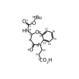 CC(C)(C)OC(=O)NC1CC(=O)N(CCC(=O)O)c2ccccc2O1